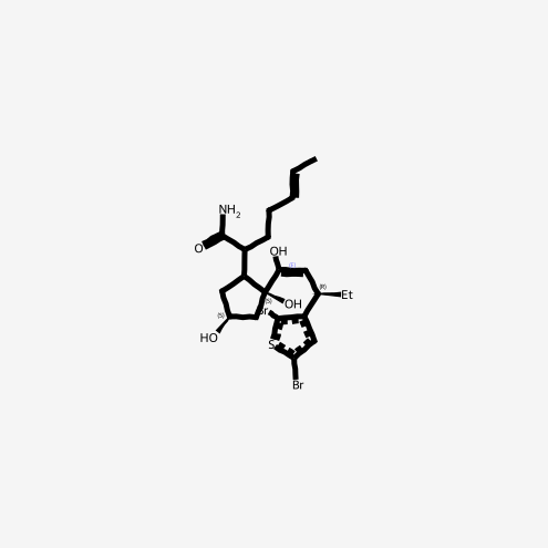 CC=CCCC(C(N)=O)C1C[C@H](O)C[C@@]1(O)/C(O)=C\[C@@H](CC)c1cc(Br)sc1Br